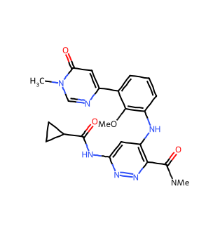 CNC(=O)c1nnc(NC(=O)C2CC2)cc1Nc1cccc(-c2cc(=O)n(C)cn2)c1OC